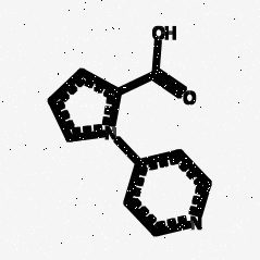 O=C(O)c1cccn1-c1ccncc1